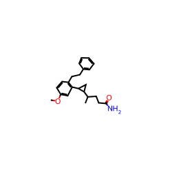 COc1ccc(CCc2ccccc2)c(C2CC2C(C)CCC(N)=O)c1